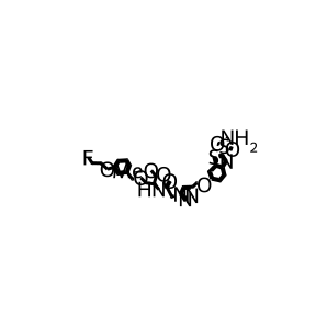 COC(=O)C(COCc1cccc(OCCF)c1)NC(=O)Cn1cc(COc2ccc3nc(S(N)(=O)=O)sc3c2)nn1